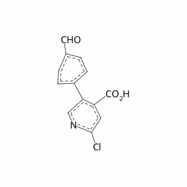 O=Cc1ccc(-c2cnc(Cl)cc2C(=O)O)cc1